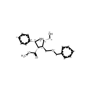 COC(=O)[C@H]1[C@H](COCc2ccccc2)[C@@H](CO)N[C@H]1c1ccccc1